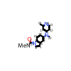 CNC(=O)n1ccc2cc(N(C)c3ccnc(C)c3)ccc21